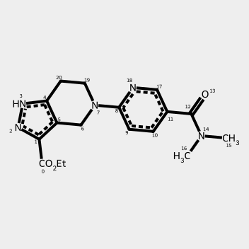 CCOC(=O)c1n[nH]c2c1CN(c1ccc(C(=O)N(C)C)cn1)CC2